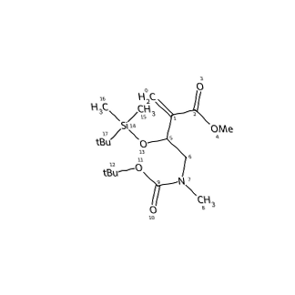 C=C(C(=O)OC)C(CN(C)C(=O)OC(C)(C)C)O[Si](C)(C)C(C)(C)C